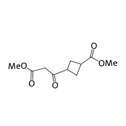 COC(=O)CC(=O)C1CC(C(=O)OC)C1